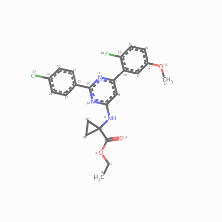 CCOC(=O)C1(Nc2cc(-c3cc(OC)ccc3F)nc(-c3ccc(Cl)cc3)n2)CC1